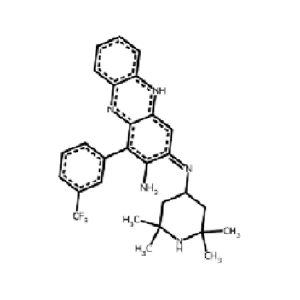 CC1(C)CC(N=c2cc3[nH]c4ccccc4nc-3c(-c3cccc(C(F)(F)F)c3)c2N)CC(C)(C)N1